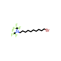 FC(F)(F)N(CCCCCCCCCCBr)C(F)(F)F